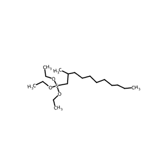 CCCCCCCCCC(C)CS(OCC)(OCC)OCC